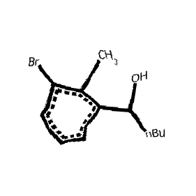 CCCCC(O)c1cccc(Br)c1C